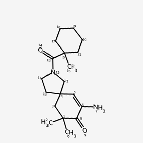 CC1(C)CC2(C=C(N)C1=O)CCN(C(=O)C1(C(F)(F)F)CCCCC1)C2